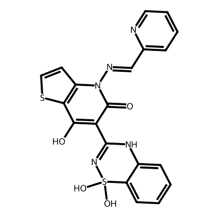 O=c1c(C2=NS(O)(O)c3ccccc3N2)c(O)c2sccc2n1N=Cc1ccccn1